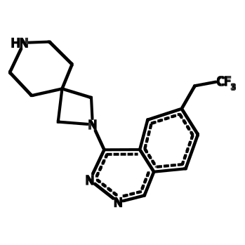 FC(F)(F)Cc1ccc2cnnc(N3CC4(CCNCC4)C3)c2c1